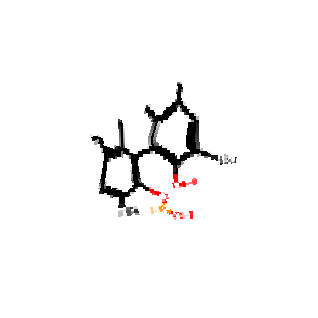 Cc1cc(C(C)(C)C)c(O)c(-c2c(C)c(C)cc(C(C)(C)C)c2OPO)c1C